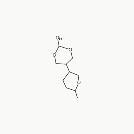 CC1CCC(C2COC(O)OC2)CO1